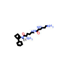 CCN(C(=O)[C@@H](N)CCCCNC(=O)[C@@H](N)CCCCN)[C@@H]1C2CCC(C2)C1c1ccccc1